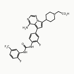 Nc1ncnn2c(C3CCN(CC(=O)O)CC3)cc(-c3ccc(NC(=O)Nc4cc(C(F)(F)F)ccc4F)c(F)c3)c12